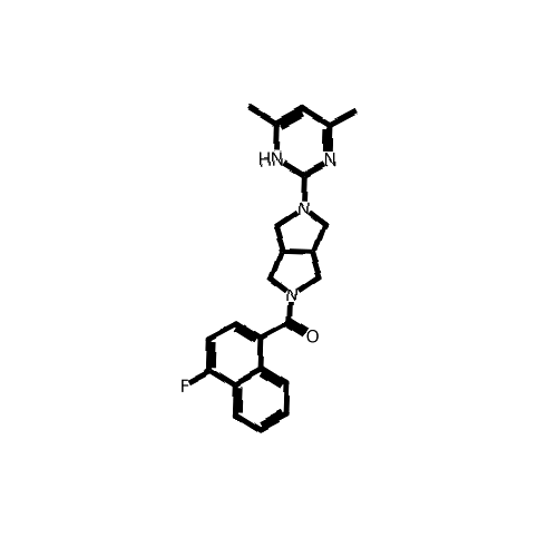 CC1=CC(C)=NC(N2CC3CN(C(=O)c4ccc(F)c5ccccc45)CC3C2)N1